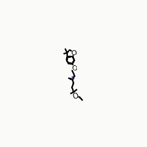 CCOC(C)(C)CC/C(C)=C/COc1ccc2c(c1)OCC2(C)C